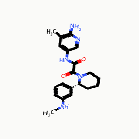 CNc1cccc([C@H]2CCCCN2C(=O)C(=O)Nc2cnc(N)c(C)c2)c1